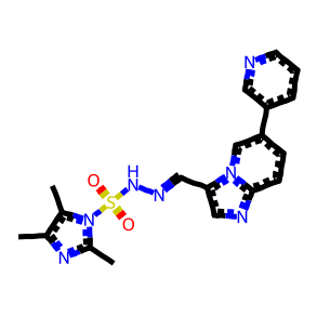 Cc1nc(C)n(S(=O)(=O)NN=Cc2cnc3ccc(-c4cccnc4)cn23)c1C